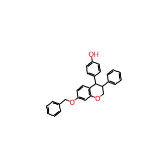 Oc1ccc(C2c3ccc(OCc4ccccc4)cc3OCC2c2ccccc2)cc1